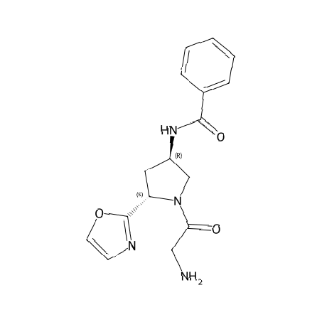 NCC(=O)N1C[C@H](NC(=O)c2ccccc2)C[C@H]1c1ncco1